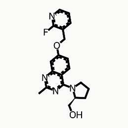 Cc1nc(N2CCC[C@H]2CO)c2ccc(OCc3cccnc3F)cc2n1